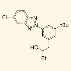 CCC(O)Cc1cc(-n2nc3ccc(Cl)cc3n2)cc(C(C)(C)C)c1